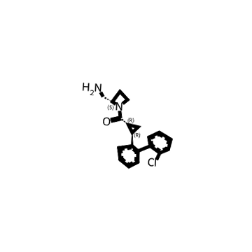 NC[C@@H]1CCN1C(=O)[C@@H]1C[C@H]1c1ccccc1-c1ccccc1Cl